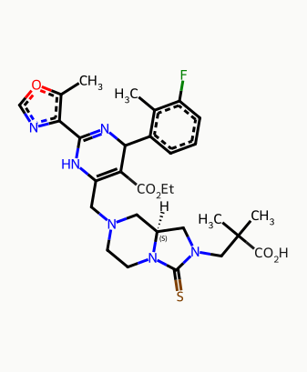 CCOC(=O)C1=C(CN2CCN3C(=S)N(CC(C)(C)C(=O)O)C[C@@H]3C2)NC(c2ncoc2C)=NC1c1cccc(F)c1C